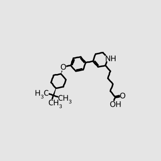 CC(C)(C)[C@H]1CC[C@H](Oc2ccc(C3=CC(CCCCC(=O)O)NCC3)cc2)CC1